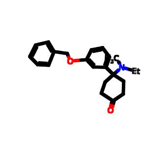 CCN(C)C1(c2cccc(OCc3ccccc3)c2)CCC(=O)CC1